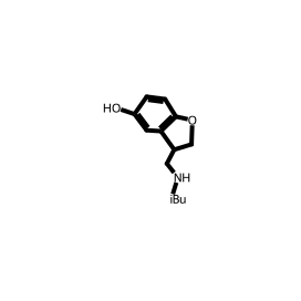 CCC(C)NCC1COc2ccc(O)cc21